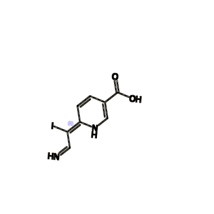 N=C/C(I)=C1/C=CC(C(=O)O)=CN1